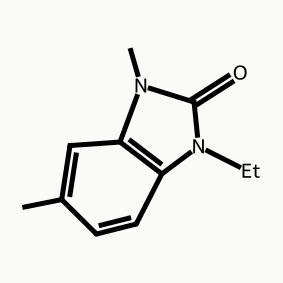 CCn1c(=O)n(C)c2cc(C)ccc21